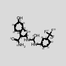 NC(=O)c1c(NC(O)Nc2cccc(C(F)(F)F)c2)sc2cc(O)ccc12